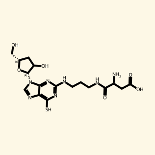 NC(CC(=O)O)C(=O)NCCCNc1nc(S)c2ncn([C@@H]3O[C@H](CO)CC3O)c2n1